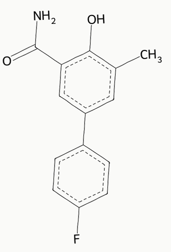 Cc1cc(-c2ccc(F)cc2)cc(C(N)=O)c1O